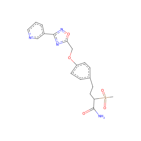 CS(=O)(=O)C(CCc1ccc(OCc2nc(-c3cccnc3)no2)cc1)C(N)=O